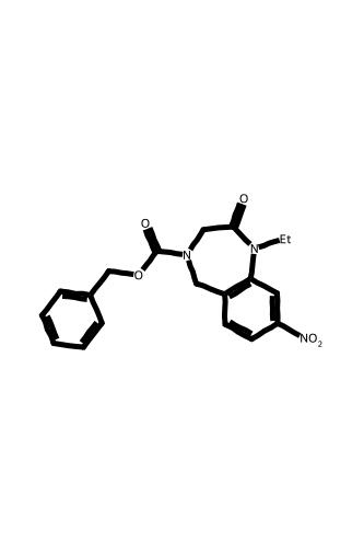 CCN1C(=O)CN(C(=O)OCc2ccccc2)Cc2ccc([N+](=O)[O-])cc21